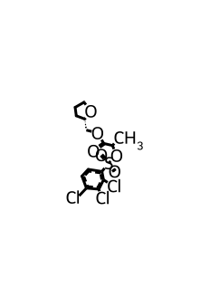 CC(OS(=O)(=O)c1ccc(Cl)c(Cl)c1Cl)C(=O)OC[C@@H]1CCCO1